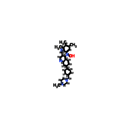 Cc1cc(N(O)c2c(C#N)cnc3cc(-c4ccc(CN5CCN(C)CC5)cc4)ccc23)cc(C)c1C